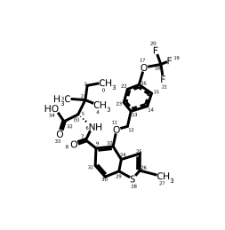 CCC(C)(C)[C@H](NC(=O)C1=C(OCc2ccc(OC(F)(F)F)cc2)C2C=C(C)SC2C=C1)C(=O)O